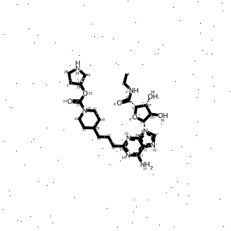 CCNC(=O)[C@H]1O[C@@H](n2cnc3c(N)nc(CCCC4CCN(C(=O)OC5CCNC5)CC4)nc32)C(O)[C@H]1O